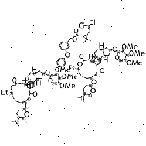 CC1(C)C(C=C(Cl)Cl)C1C(=O)OCc1cccc(Oc2ccccc2)c1.CC[C@H]1CCC[C@H](O[C@H]2CC[C@H](N(C)C)[C@@H](C)O2)[C@@H](C)C(=O)C2=C[C@@H]3[C@@H](C=C(C)[C@@H]4C[C@@H](O[C@@H]5O[C@@H](C)[C@H](OC)[C@@H](OC)[C@H]5OC)C[C@@H]34)[C@@H]2CC(=O)O1.CC[C@H]1CCC[C@H](O[C@H]2CC[C@H](N(C)C)[C@@H](C)O2)[C@@H](C)C(=O)C2=C[C@@H]3[C@@H](C=C[C@@H]4C[C@@H](O[C@@H]5O[C@@H](C)[C@H](OC)[C@@H](OC)[C@H]5OC)C[C@@H]34)[C@@H]2CC(=O)O1